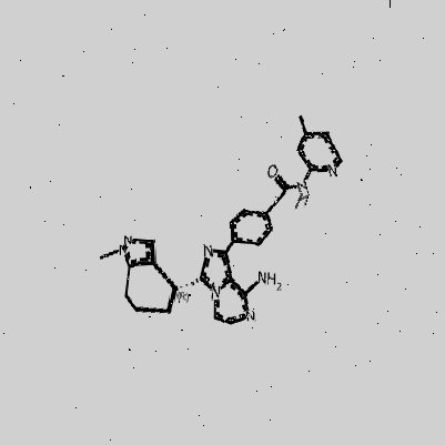 Cc1ccnc(NC(=O)c2ccc(-c3nc([C@@H]4CCCc5c4cnn5C)n4ccnc(N)c34)cc2)c1